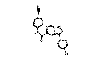 CN(C(=O)c1cn2c(-c3ccc(Cl)cc3)cnc2cn1)c1ccc(C#N)cc1